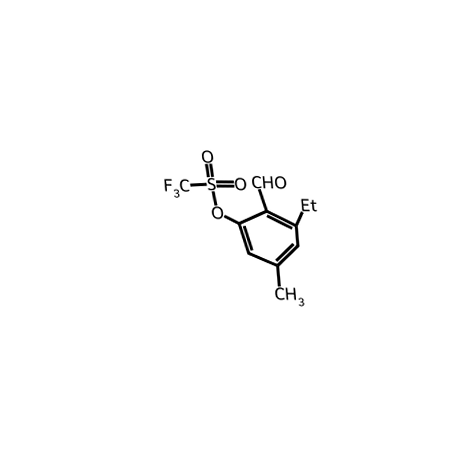 CCc1cc(C)cc(OS(=O)(=O)C(F)(F)F)c1C=O